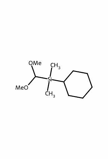 COC(OC)[Si](C)(C)C1CCCCC1